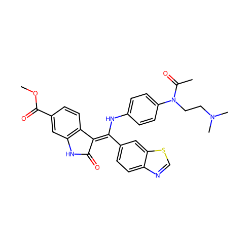 COC(=O)c1ccc2c(c1)NC(=O)C2=C(Nc1ccc(N(CCN(C)C)C(C)=O)cc1)c1ccc2ncsc2c1